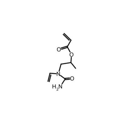 C=CC(=O)OC(C)CN(C=C)C(N)=O